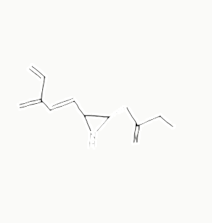 C=CC(=C)/C=C/C1N[C@H]1CC(=C)CC